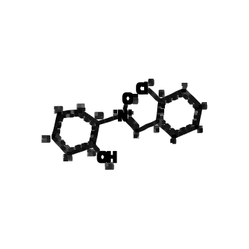 [O-][N+](=Cc1ccccc1Cl)c1ccccc1O